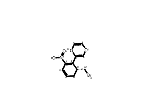 O=[N+]([O-])C1=C(C2=COC=CO2)[C@H](CBr)CC=C1